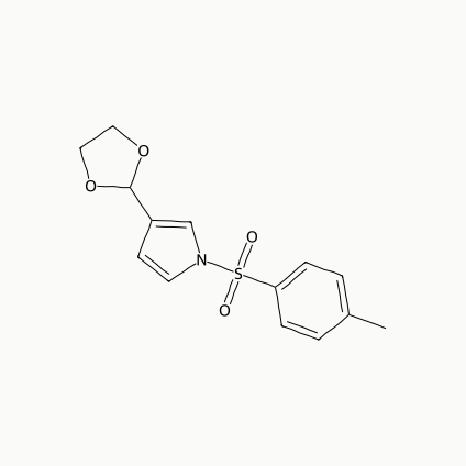 Cc1ccc(S(=O)(=O)n2ccc(C3OCCO3)c2)cc1